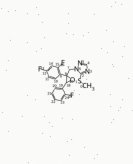 CSc1ncnn1CC1(c2ccc(F)cc2F)OC1c1ccccc1F